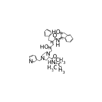 CC(C)(C)NC(=O)C1CN(Cc2cccnc2)CCN1C[C@@H](O)C[C@@H](Cc1ccccc1)C(=O)N[C@@H]1c2ccccc2C[C@H]1O